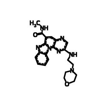 CNC(=O)c1cc2ncc(NCCN3CCOCC3)nc2n2c1nc1ccccc12